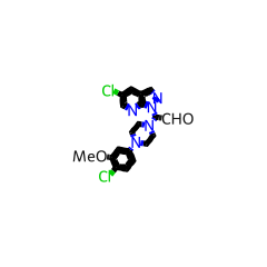 COc1cc(N2CCN(C(C=O)n3ncc4cc(Cl)cnc43)CC2)ccc1Cl